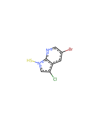 Sn1cc(Cl)c2cc(Br)cnc21